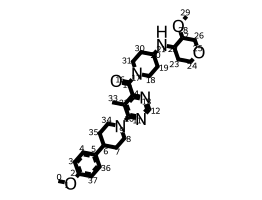 COc1ccc(C2CCN(c3ncnc(C(=O)N4CCC(NC5CCOCC5OC)CC4)c3C)CC2)cc1